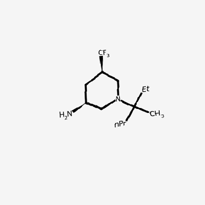 CCCC(C)(CC)N1C[C@@H](N)C[C@@H](C(F)(F)F)C1